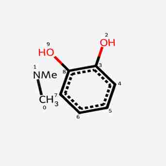 CNC.Oc1ccccc1O